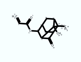 C=CC(=O)OC1C2CC3C(=O)C1C(C)(C)C(C2)C3C